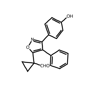 O=CC1(c2onc(-c3ccc(O)cc3)c2-c2ccccc2)CC1